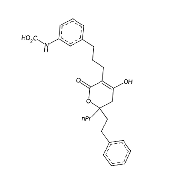 CCCC1(CCc2ccccc2)CC(O)=C(CCCc2cccc(NC(=O)O)c2)C(=O)O1